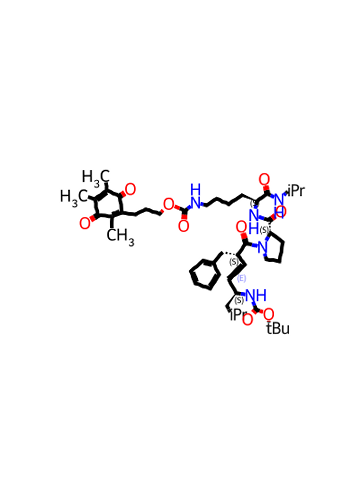 CC1=C(C)C(=O)C(CCCOC(=O)NCCCC[C@H](NC(=O)[C@@H]2CCCN2C(=O)[C@H](/C=C/[C@H](CC(C)C)NC(=O)OC(C)(C)C)Cc2ccccc2)C(=O)NC(C)C)=C(C)C1=O